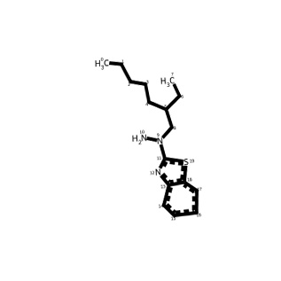 CCCCCC(CC)CN(N)c1nc2ccccc2s1